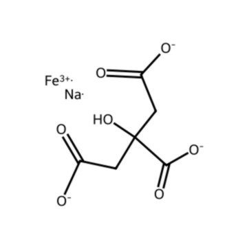 O=C([O-])CC(O)(CC(=O)[O-])C(=O)[O-].[Fe+3].[Na]